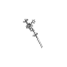 CCCCCCCCCCCCNC(=O)CCCOc1ccc(NC(NC(=O)CCC2CCCC2)C(=O)NCCNC(C)=O)cc1